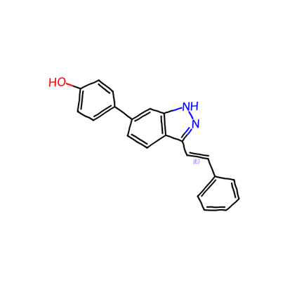 Oc1ccc(-c2ccc3c(/C=C/c4ccccc4)n[nH]c3c2)cc1